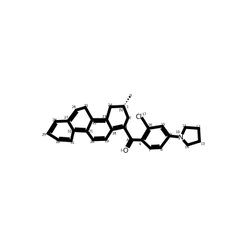 C[C@@H]1CC(C(=O)c2ccc(N3CCCC3)cc2Cl)=c2ccc3c(c2C1)CC=c1ccccc1=3